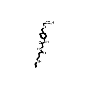 C=CNCCCC(=O)NCC(=O)Nc1ccc(COCC(=O)O)cc1